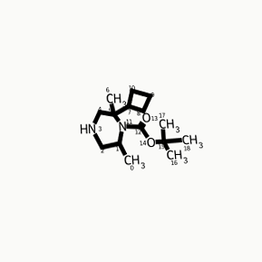 CC1CNCC(C)(C2CCC2)N1C(=O)OC(C)(C)C